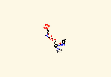 Cc1ccc(NC(=O)Nc2cc(CCC(=O)OCOC(=O)CN(C)C(=O)CCCOP(=O)(O)O)ccc2N(CC(C)C)CC(C)C)cc1